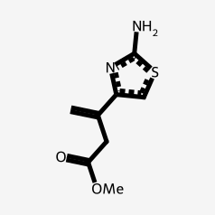 C=C(CC(=O)OC)c1csc(N)n1